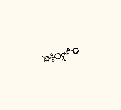 COCC1(CN[C@@H]2C[C@H]2c2ccccc2)CCN(S(=O)(=O)c2cnn(C)c2)CC1